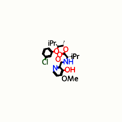 COc1ccnc(C(=O)N[C@H](C(=O)O[C@@H](C)[C@H](Oc2cccc(Cl)c2)C(C)C)C(C)C)c1O